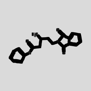 CC(CCN1C(=O)c2ccccc2C1=O)CC(=O)Oc1ccccc1